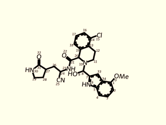 COc1cccc2[nH]c(C(O)N3CCc4c(Cl)cccc4C3C(=O)NC(C#N)CC3CCNC3=O)cc12